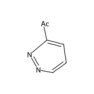 CC(=O)c1cccnn1